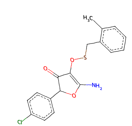 Cc1ccccc1CSOC1=C(N)OC(c2ccc(Cl)cc2)C1=O